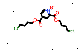 O=C(OCCCCCl)c1cc[n+]([O-])c(C(=O)OCCCCCl)c1